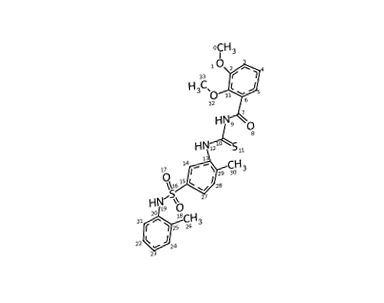 COc1cccc(C(=O)NC(=S)Nc2cc(S(=O)(=O)Nc3ccccc3C)ccc2C)c1OC